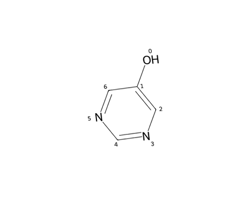 Oc1cncnc1